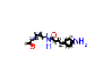 CC(=O)/C=C/C=C\CCNC(=O)CCCc1ccc(N)cc1